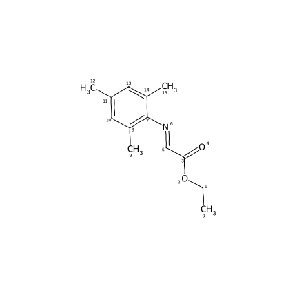 CCOC(=O)C=Nc1c(C)cc(C)cc1C